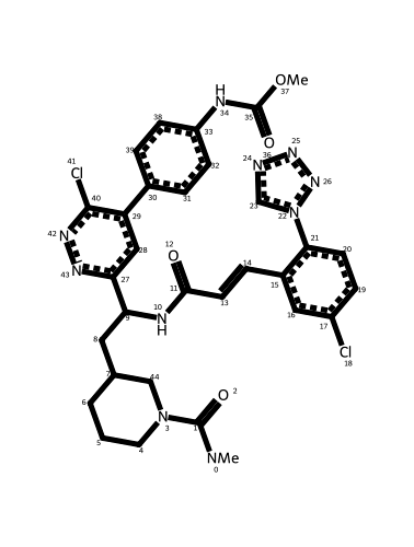 CNC(=O)N1CCCC(CC(NC(=O)C=Cc2cc(Cl)ccc2-n2cnnn2)c2cc(-c3ccc(NC(=O)OC)cc3)c(Cl)nn2)C1